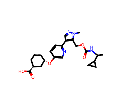 CC(NC(=O)OCc1c(-c2ccc(O[C@H]3CCC[C@H](C(=O)O)C3)cn2)cnn1C)C1CC1